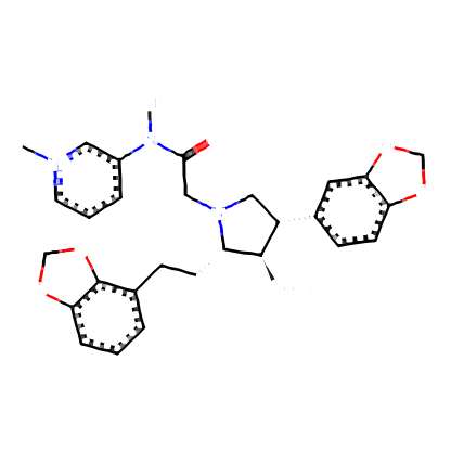 CCCCN(C(=O)CN1C[C@H](c2ccc3c(c2)OCO3)[C@@H](C(=O)O)[C@@H]1CCc1cccc2c1OCO2)c1ccc[n+](C)c1